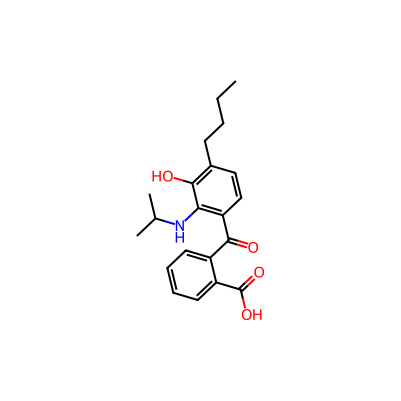 CCCCc1ccc(C(=O)c2ccccc2C(=O)O)c(NC(C)C)c1O